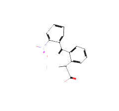 C=C(c1ccccc1C(C)C(=O)O)c1ccccc1[N+](=O)[O-]